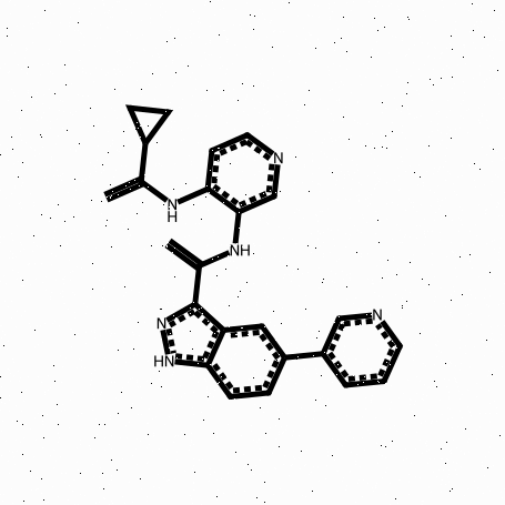 C=C(Nc1cnccc1NC(=C)C1CC1)c1n[nH]c2ccc(-c3cccnc3)cc12